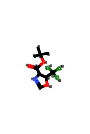 CC(C)(C)OC(=O)C1N=COC1C(Cl)(Cl)Cl